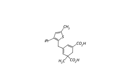 Cc1cc(C(C)C)c(CC2=CC(C)(C(=O)O)CC(C(=O)O)=C2)s1